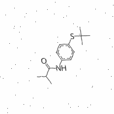 CC(C)C(=O)Nc1ccc(SC(C)(C)C)cc1